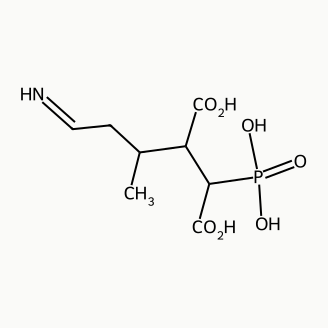 CC(CC=N)C(C(=O)O)C(C(=O)O)P(=O)(O)O